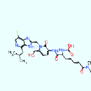 CC(C)Cc1ncc(F)c2nc(Cn3c(CO)ccc(NC(=O)C(CC/C=C/C(=O)N(C)C)NC(=O)O)c3=O)[nH]c12